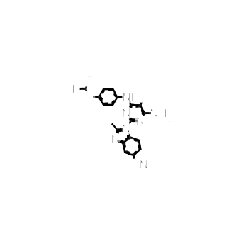 Cc1nc2cc(C#N)ccc2n1-c1nc(N)c(F)c(Nc2ccc(OC(F)F)cc2)n1